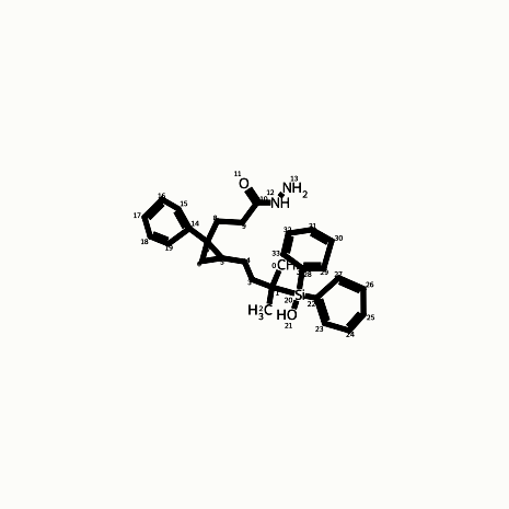 CC(C)(CCC1CC1(CCC(=O)NN)c1ccccc1)[Si](O)(c1ccccc1)c1ccccc1